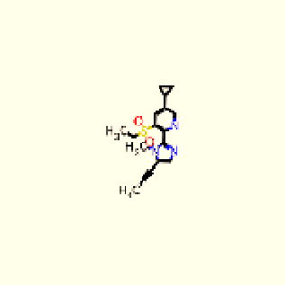 CC#Cc1cnc(-c2ncc(C3CC3)cc2S(=O)(=O)CC)n1C